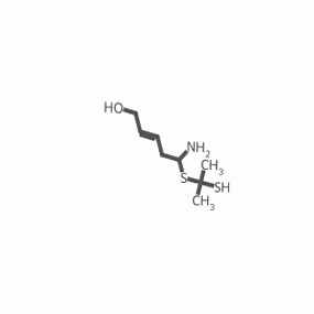 CC(C)(S)SC(N)CC=CCO